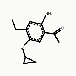 CCc1cc(N)c(C(C)=O)cc1OC1CC1